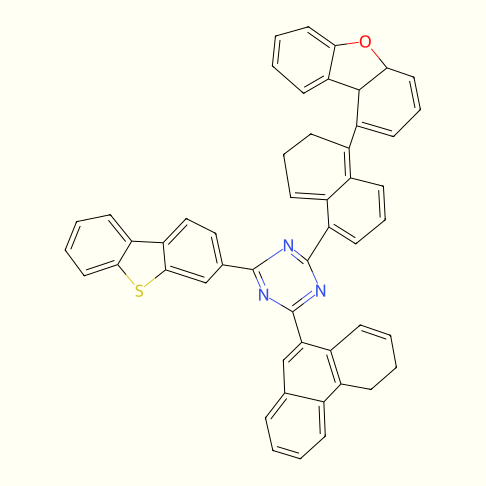 C1=CC2Oc3ccccc3C2C(C2=c3cccc(-c4nc(-c5ccc6c(c5)sc5ccccc56)nc(-c5cc6ccccc6c6c5C=CCC6)n4)c3=CCC2)=C1